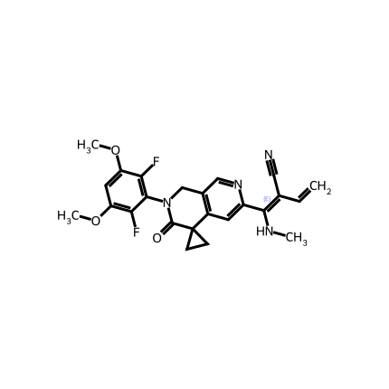 C=C/C(C#N)=C(\NC)c1cc2c(cn1)CN(c1c(F)c(OC)cc(OC)c1F)C(=O)C21CC1